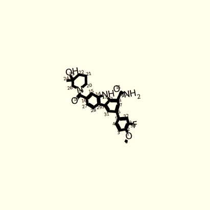 COc1ccc(-c2cc(C(N)=O)c3[nH]c4cc(C(=O)N5CCCC(C)(O)C5)ccc4c3c2)cc1F